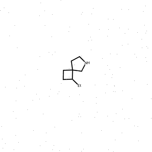 CCC1CCC12CCNC2